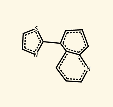 c1cc(-c2nccs2)c2cccnc2c1